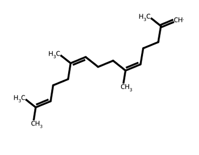 [CH]=C(C)CCC=C(C)CCC=C(C)CCC=C(C)C